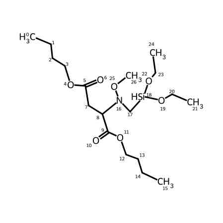 CCCCOC(=O)CC(C(=O)OCCCC)N(C[SiH](OCC)OCC)OC